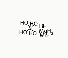 O[Si](O)(O)O.[LiH].[MgH2].[Mn]